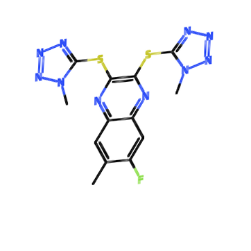 Cc1cc2nc(Sc3nnnn3C)c(Sc3nnnn3C)nc2cc1F